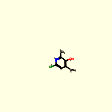 COc1cc(Cl)nc([N+](=O)[O-])c1O